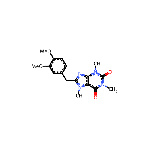 COc1ccc(Cc2nc3c(c(=O)n(C)c(=O)n3C)n2C)cc1OC